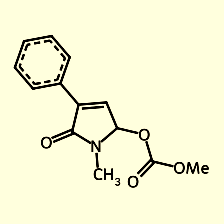 COC(=O)OC1C=C(c2ccccc2)C(=O)N1C